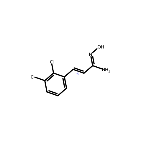 NC(/C=C/c1cccc(Cl)c1Cl)=NO